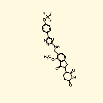 COc1c(CNc2nnc(-c3ccc(OC(F)(F)F)cc3)o2)ccc2c1C(=O)N(C1CCC(=O)NC1=O)C2